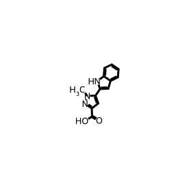 Cn1nc(C(=O)O)cc1-c1cc2ccccc2[nH]1